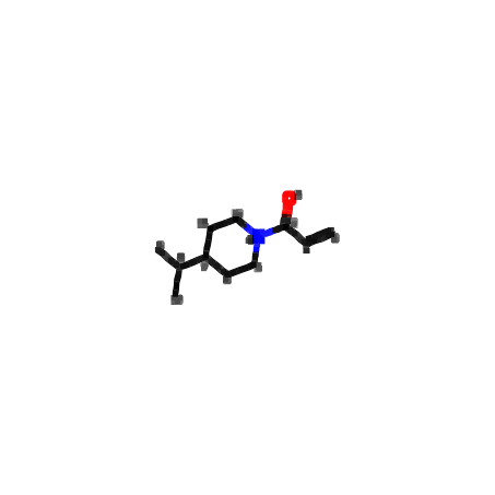 C=CC(=O)N1CCC(C(C)C)CC1